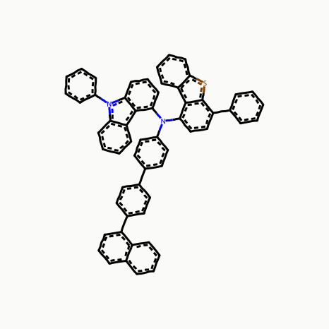 c1ccc(-c2ccc(N(c3ccc(-c4ccc(-c5cccc6ccccc56)cc4)cc3)c3cccc4c3c3ccccc3n4-c3ccccc3)c3c2sc2ccccc23)cc1